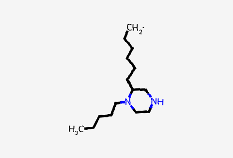 [CH2]CCCCCC1CNCCN1CCCCC